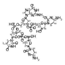 Cc1cn([C@H]2C[C@H](OP(=O)(O)OC[C@H]3O[C@@H](n4cnc5c(=O)[nH]c(N)nc54)C[C@@H]3OP(=O)(O)OC[C@H]3O[C@@H](n4ccc(N)nc4=O)C[C@@H]3O)[C@@H](COP(=O)(O)O[C@H]3C[C@H](n4ccc(N)nc4=O)O[C@@H]3CO)O2)c(=O)[nH]c1=O